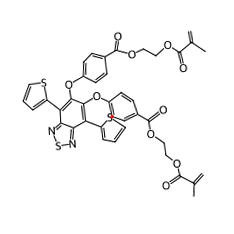 C=C(C)C(=O)OCCOC(=O)c1ccc(Oc2c(Oc3ccc(C(=O)OCCOC(=O)C(=C)C)cc3)c(-c3cccs3)c3nsnc3c2-c2cccs2)cc1